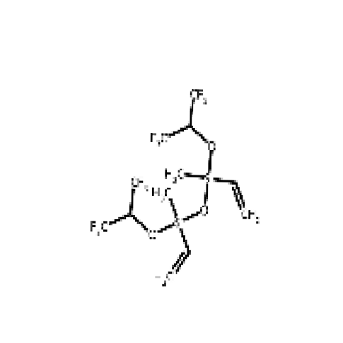 C=C[Si](C)(OC(C(F)(F)F)C(F)(F)F)O[Si](C)(C=C)OC(C(F)(F)F)C(F)(F)F